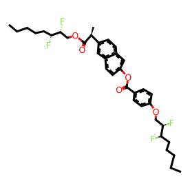 CCCCC[C@@H](F)[C@H](F)COC(=O)[C@@H](C)c1ccc2cc(OC(=O)c3ccc(OC[C@@H](F)[C@H](F)CCCCC)cc3)ccc2c1